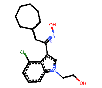 OCCn1cc(/C(CC2CCCCCC2)=N/O)c2c(Cl)cccc21